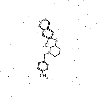 Cc1ccc(CN2CCCC(Sc3cc4ccncc4cc3Cl)C2)cc1